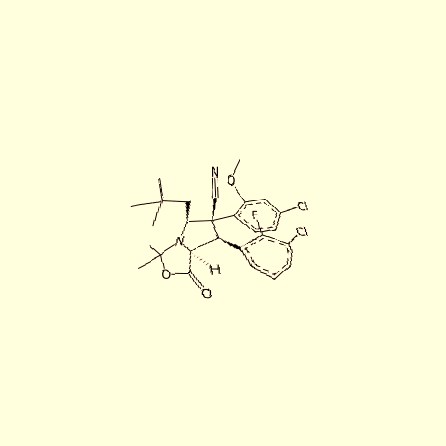 COc1cc(Cl)ccc1[C@@]1(C#N)[C@H](CC(C)(C)C)N2[C@H](C(=O)OC2(C)C)[C@@H]1c1cccc(Cl)c1F